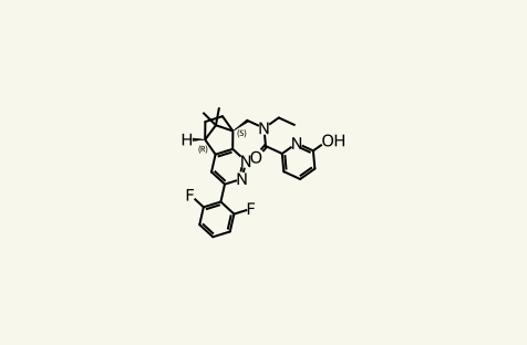 CCN(C[C@@]12CC[C@@H](c3cc(-c4c(F)cccc4F)nnc31)C2(C)C)C(=O)c1cccc(O)n1